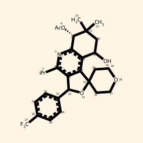 CC(=O)O[C@H]1c2nc(C(C)C)c3c(c2C(O)CC1(C)C)C1(CCOCC1)OC3c1ccc(C(F)(F)F)cc1